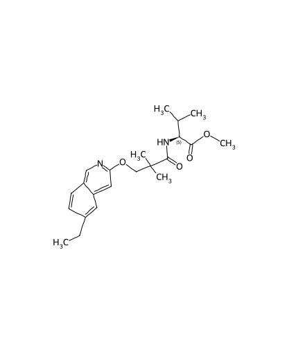 CCc1ccc2cnc(OCC(C)(C)C(=O)N[C@H](C(=O)OC)C(C)C)cc2c1